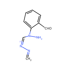 C=N/N=C\N(N)c1ccccc1C=O